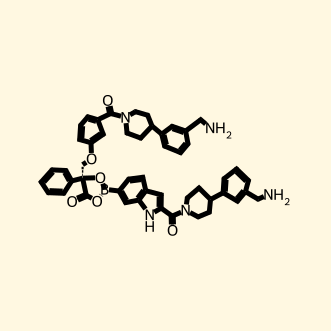 NCc1cccc(C2CCN(C(=O)c3cccc(OC[C@]4(c5ccccc5)OB(c5ccc6cc(C(=O)N7CCC(c8cccc(CN)c8)CC7)[nH]c6c5)OC4=O)c3)CC2)c1